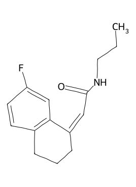 CCCNC(=O)/C=C1/CCCc2ccc(F)cc21